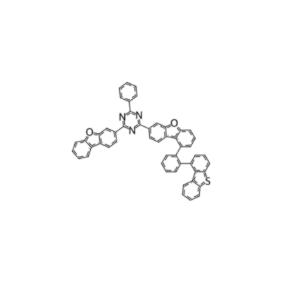 c1ccc(-c2nc(-c3ccc4c(c3)oc3ccccc34)nc(-c3ccc4c(c3)oc3cccc(-c5ccccc5-c5cccc6sc7ccccc7c56)c34)n2)cc1